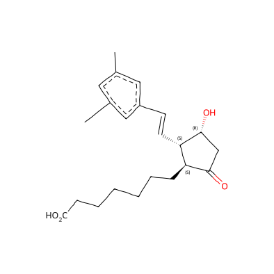 Cc1cc(C)cc(C=C[C@@H]2[C@H](O)CC(=O)[C@H]2CCCCCCC(=O)O)c1